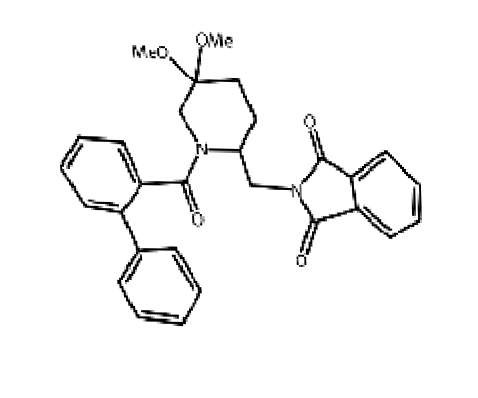 COC1(OC)CCC(CN2C(=O)c3ccccc3C2=O)N(C(=O)c2ccccc2-c2ccccc2)C1